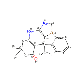 CC(C)C1(c2ccccc2)C2=C(CC(C)(C)CC2=O)Nc2ncsc21